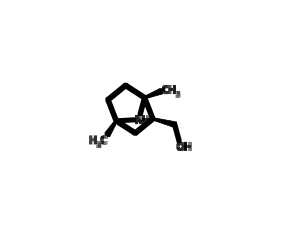 C[C@@]12CC[C@@](C)(N1)[C@@H](CO)C2